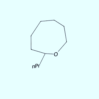 [CH2]CCC1CCCCCCO1